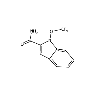 NC(=O)c1cc2ccccc2n1OC(F)(F)F